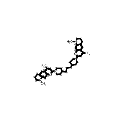 CN1CCCc2cc3c(C(F)(F)F)cc(=[N+]4CCC(CCCC5CC[N+](=c6cc(C(F)(F)F)c7cc8c(cc7o6)N(C)CCC8)CC5)CC4)oc3cc21